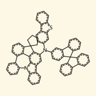 c1ccc2c(c1)-c1cccc3c1-c1c(c(N(c4ccc5c(c4)-c4ccccc4C54c5ccccc5-c5ccccc54)c4ccc5c(c4)sc4ccccc45)cc4c5ccccc5n-2c14)C31CCCC1